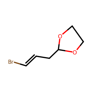 BrC=CCC1OCCO1